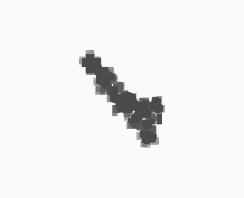 CC(C)n1nc(-c2ccc(CC(=O)Nc3cc(C4CC(C)(C)C4)no3)c(F)c2F)c(C#N)c1NC(=O)OC(C)(C)C